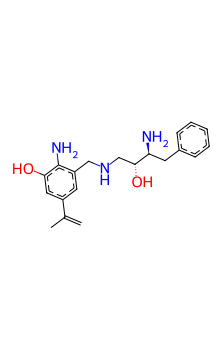 C=C(C)c1cc(O)c(N)c(CNC[C@@H](O)[C@@H](N)Cc2ccccc2)c1